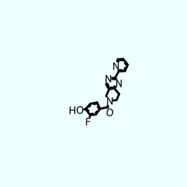 O=C(c1ccc(O)c(F)c1)N1CCc2nc(-c3ccccn3)ncc2C1